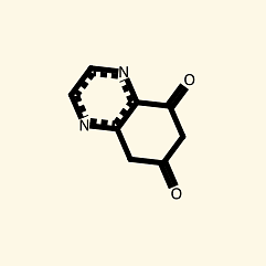 O=C1CC(=O)c2nccnc2C1